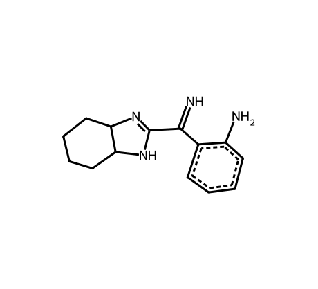 N=C(C1=NC2CCCCC2N1)c1ccccc1N